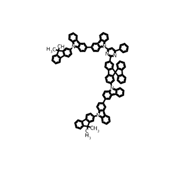 CC1(C)c2ccccc2-c2ccc(-n3c4ccccc4c4cc(-c5ccc6c(c5)c5ccccc5n6-c5ccc6c(c5)C5(c7ccccc7-c7ccccc75)c5cc(-c7nc(-c8ccccc8)cc(-n8c9ccccc9c9cc(-c%10ccc%11c(c%10)c%10ccccc%10n%11-c%10ccc%11c(c%10)C(C)(C)c%10ccccc%10-%11)ccc98)n7)ccc5-6)ccc43)cc21